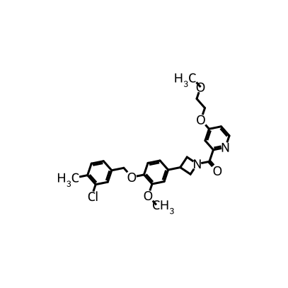 COCCOc1ccnc(C(=O)N2CC(c3ccc(OCc4ccc(C)c(Cl)c4)c(OC)c3)C2)c1